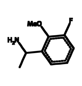 COc1c(F)cccc1C(C)N